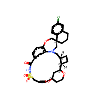 O=C1NS(=O)(=O)C/C=C\[C@@]2(O)CCO[C@@H](C2)[C@@H]2CC[C@H]2CN2C[C@@]3(CCCc4cc(Cl)ccc43)COc3ccc1cc32